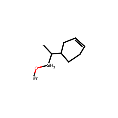 [CH2]C([SiH2]OC(C)C)C1CC=CCC1